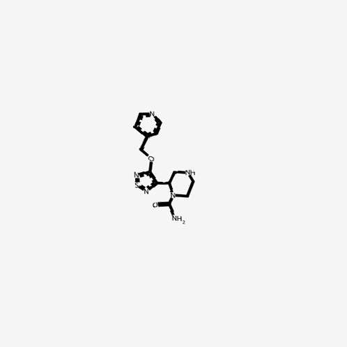 NC(=O)N1CCNCC1c1nsnc1OCc1ccncc1